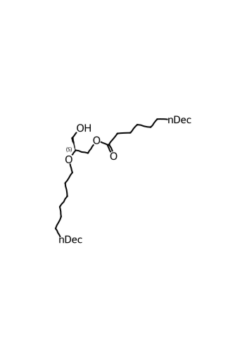 CCCCCCCCCCCCCCCCO[C@@H](CO)COC(=O)CCCCCCCCCCCCCCC